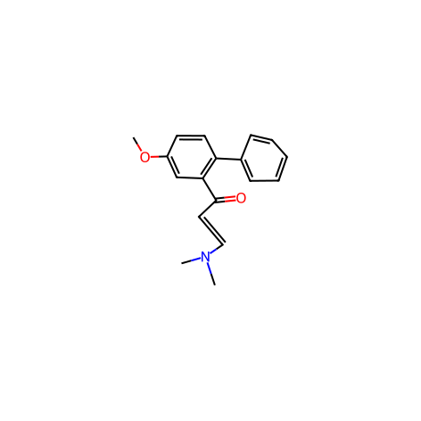 COc1ccc(-c2ccccc2)c(C(=O)/C=C/N(C)C)c1